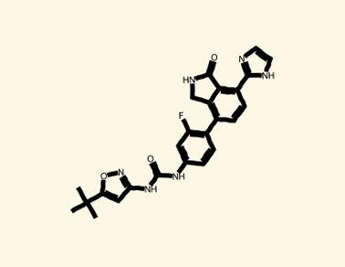 CC(C)(C)c1cc(NC(=O)Nc2ccc(-c3ccc(-c4ncc[nH]4)c4c3CNC4=O)c(F)c2)no1